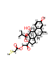 CSCC(=O)OCC(=O)[C@@]1(OC(=O)C(C)C)CC[C@H]2[C@@H]3CC(C)C4=CC(=O)C=C[C@]4(C)[C@H]3C(O)C[C@@]21C